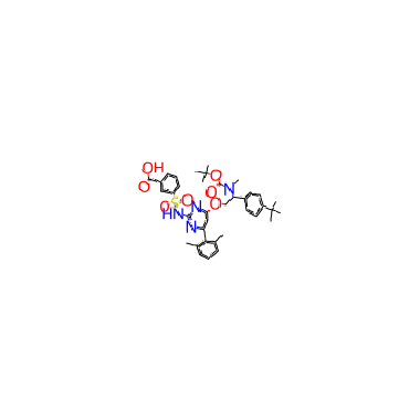 Cc1cccc(C)c1-c1cc(OCC(c2ccc(C(C)(C)C)cc2)N(C)C(=O)OC(C)(C)C)nc(NS(=O)(=O)c2cccc(C(=O)O)c2)n1